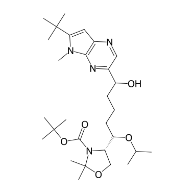 CC(C)OC(CCCC(O)c1cnc2cc(C(C)(C)C)n(C)c2n1)[C@@H]1COC(C)(C)N1C(=O)OC(C)(C)C